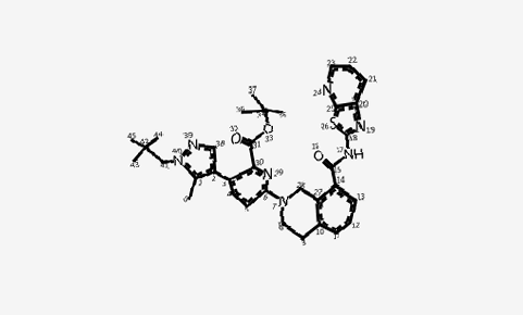 Cc1c(-c2ccc(N3CCc4cccc(C(=O)Nc5nc6cccnc6s5)c4C3)nc2C(=O)OC(C)(C)C)cnn1CC(C)(C)C